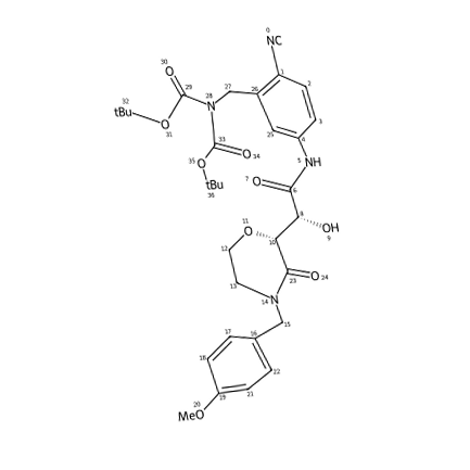 [C-]#[N+]c1ccc(NC(=O)[C@H](O)[C@H]2OCCN(Cc3ccc(OC)cc3)C2=O)cc1CN(C(=O)OC(C)(C)C)C(=O)OC(C)(C)C